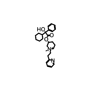 C[N@+]1(CCc2ccccn2)CCCC(OC(=O)C(O)(c2ccccc2)C2CCCCC2)C1